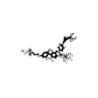 Cc1cc(OCCCS(C)(=O)=O)cc(C)c1-c1cccc(CN(C(=O)OC(C)(C)C)c2ccc([C@H]3CC3C(=O)O)nc2)c1